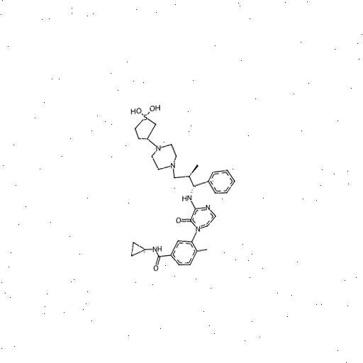 Cc1ccc(C(=O)NC2CC2)cc1-n1ccnc(N[C@@H](c2ccccc2)[C@H](C)CN2CCN(C3CCS(O)(O)C3)CC2)c1=O